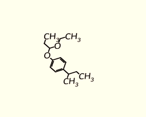 CCOC(CC)Oc1ccc(C(C)CC)cc1